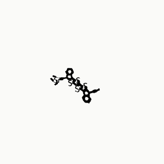 CC#CC1=c2sc3c(sc4c5sc6c(c5sc34)-c3ccccc3C=6C#C[Si](CC)(CC)CC)c2-c2ccccc21